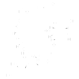 C=C1CC2CCC(=O)CC3O[C@H]4[C@@H](O)[C@H]5OC(CC[C@@H]5O[C@H]4[C@H]3O)CC(=O)C[C@@H]3[C@@H](C)[C@@H](C[C@H](O)CO)O[C@H]3C[C@H]3O[C@@H](CC[C@@H]1O2)C[C@@H](C)C3=C